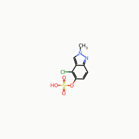 Cn1cc2c(Cl)c(OS(=O)(=O)O)ccc2n1